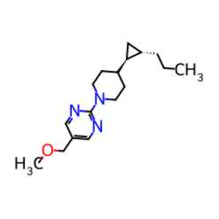 CCC[C@H]1C[C@@H]1C1CCN(c2ncc(COC)cn2)CC1